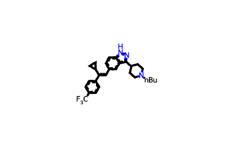 CCCCN1CCC(c2n[nH]c3ccc(/C=C(/c4ccc(C(F)(F)F)cc4)C4CC4)cc23)CC1